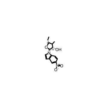 CC[C@H]1O[C@@H](n2ccc3cc([N+](=O)[O-])ccc32)[C@@H](O)C1C